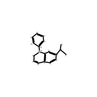 CC(C)c1ccc2c(c1)N(c1ccccc1)CC=C2